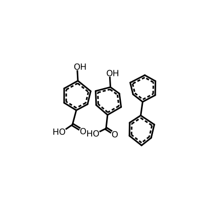 O=C(O)c1ccc(O)cc1.O=C(O)c1ccc(O)cc1.c1ccc(-c2ccccc2)cc1